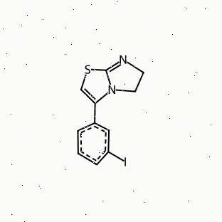 Ic1cccc(C2=CSC3=NCCN23)c1